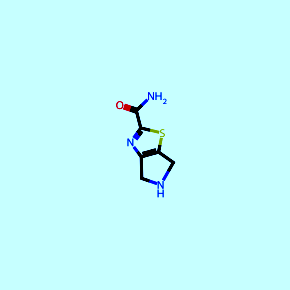 NC(=O)c1nc2c(s1)CNC2